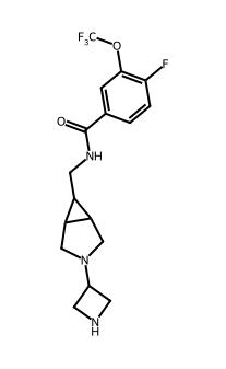 O=C(NCC1C2CN(C3CNC3)CC12)c1ccc(F)c(OC(F)(F)F)c1